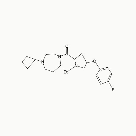 CCN1CC(Oc2ccc(F)cc2)CC1C(=O)N1CCCN(C2CCC2)CC1